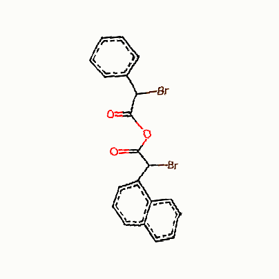 O=C(OC(=O)C(Br)c1cccc2ccccc12)C(Br)c1ccccc1